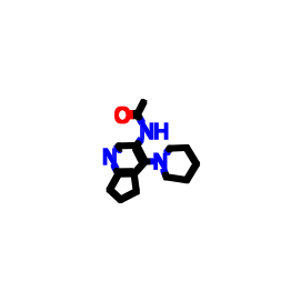 CC(=O)Nc1cnc2c(c1N1CCCCC1)CCC2